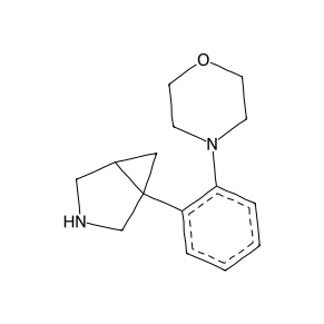 c1ccc(C23CNCC2C3)c(N2CCOCC2)c1